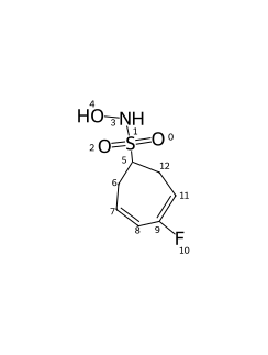 O=S(=O)(NO)C1CC=CC(F)=CC1